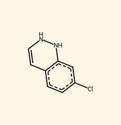 Clc1ccc2c(c1)NNC=C2